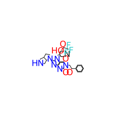 Cn1c(=O)n(CC(=O)c2ccccc2)c(=O)c2c1nc(N1CCC3CNCC31)n2CC#N.O=C(O)C(F)(F)F